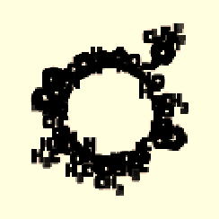 CC[C@H](C)[C@@H]1NC(=O)[C@H](CC(C)C)N(C)C(=O)C[C@@H](C(=O)N2CCCCC2)N(C)C(=O)[C@H](C2CCCCC2)N(C)C(=O)C2(CCCC2)NC(=O)[C@@H]2CCCN2C(=O)[C@H](CCc2ccc(C(F)(F)F)c(Cl)c2)NC(=O)CN(C)C(=O)[C@H](CC2CCCCC2)N(C)C(=O)CN(CC)C(=O)CN(C)C1=O